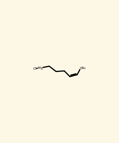 CCCC/C=C\CC[CH2][Mg][Cl]